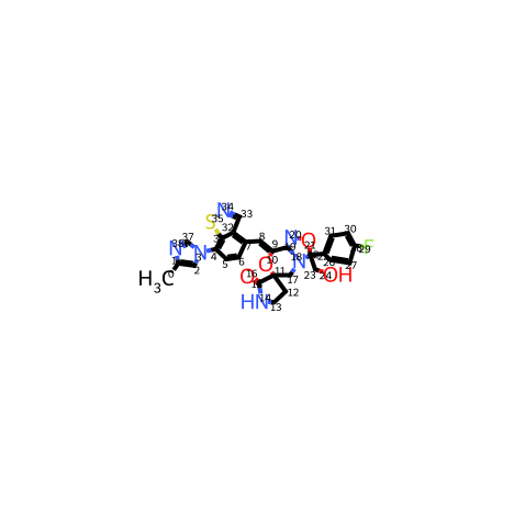 Cc1cn(-c2ccc(/C=C3\OC4(CCNC4=O)CN4C3=NOC4(CO)c3ccc(F)cc3)c3cnsc23)cn1